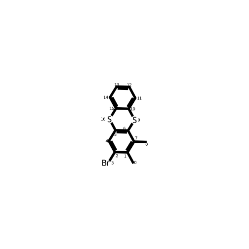 Cc1c(Br)cc2c(c1C)Sc1ccccc1S2